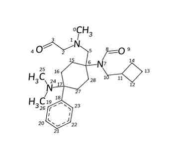 CN(CC=O)CC1(N(C=O)CC2CCC2)CCC(c2ccccc2)(N(C)C)CC1